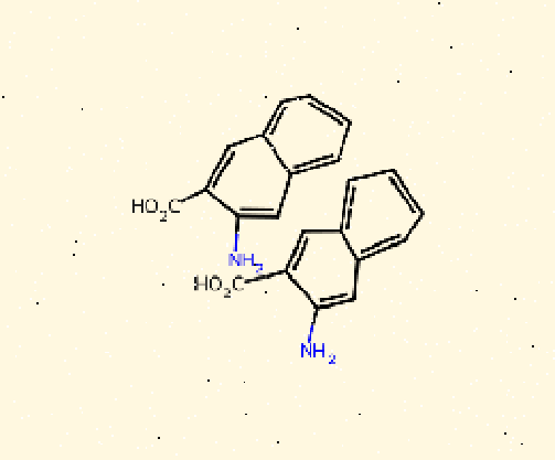 Nc1cc2ccccc2cc1C(=O)O.Nc1cc2ccccc2cc1C(=O)O